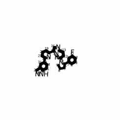 Fc1cccc(C2CCCN2c2ccc3ncc(-c4cccc(-c5ccc6[nH]ncc6c5)n4)n3n2)c1